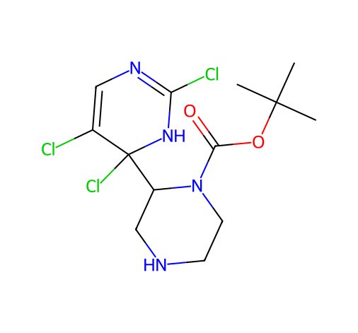 CC(C)(C)OC(=O)N1CCNCC1C1(Cl)NC(Cl)=NC=C1Cl